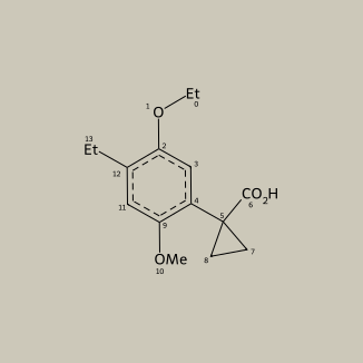 CCOc1cc(C2(C(=O)O)CC2)c(OC)cc1CC